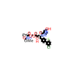 COC(=O)N[C@H](C(=O)OCOC(=O)C(O)C[C@@H](Cc1ccc(-c2cc(Cl)ccc2F)cc1)NC(=O)c1cn(O)nn1)C(C)C